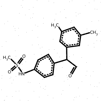 Cc1cc(C)cc(C([C]=O)c2ccc(NS(C)(=O)=O)cc2)c1